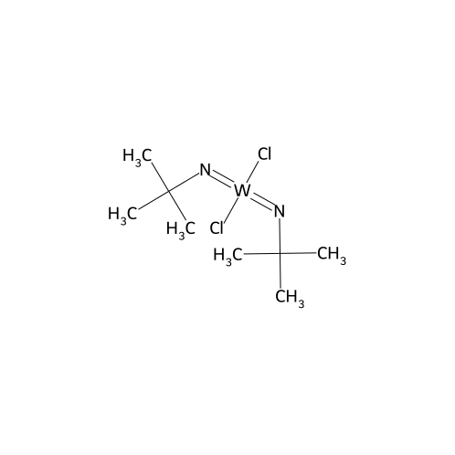 CC(C)(C)[N]=[W]([Cl])([Cl])=[N]C(C)(C)C